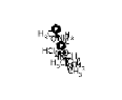 Cc1cc(S(=O)(=O)NC(C)C(C)(C)CN(C)C)ccc1NC(=O)c1ccccc1C.Cl